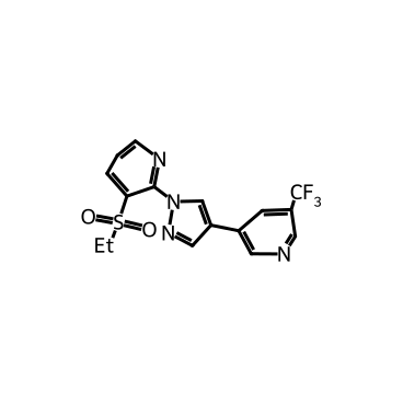 CCS(=O)(=O)c1cccnc1-n1cc(-c2cncc(C(F)(F)F)c2)cn1